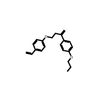 C=Cc1ccc(OCCC(=C)c2ccc(OCCC)cc2)cc1